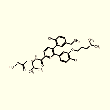 COC(=O)C[C@H](NC(=O)c1ccc(-c2cc(CN)ccc2Cl)c(-c2ccc(Cl)c(OCCCN(C)C)c2)n1)C(C)C